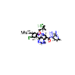 COc1cc(OCC2CC2)c(-c2ncnc3c(C(=O)N[C@H]4CCCNC4)c[nH]c23)cc1F.Cl